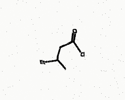 CCC(C)CC(=O)Cl